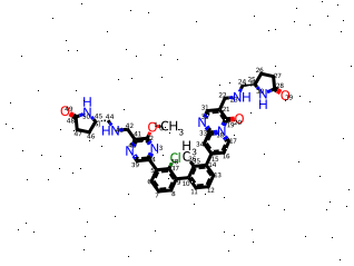 COc1nc(-c2cccc(-c3cccc(-c4ccn5c(=O)c(CNC[C@H]6CCC(=O)N6)cnc5c4)c3C)c2Cl)cnc1CNC[C@@H]1CCC(=O)N1